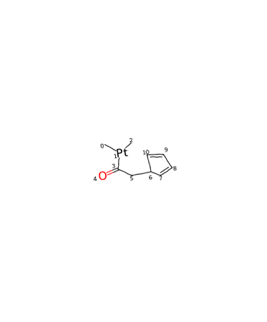 [CH3][Pt]([CH3])[C](=O)CC1C=CC=C1